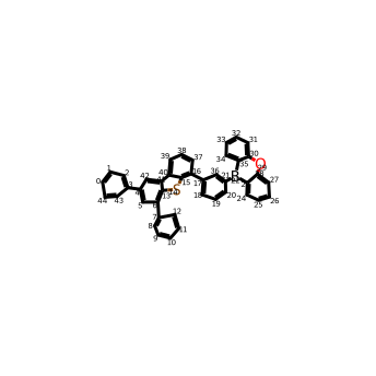 c1ccc(-c2cc(-c3ccccc3)c3sc4c(-c5cccc(B6c7ccccc7Oc7ccccc76)c5)cccc4c3c2)cc1